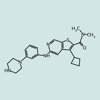 CN(C)C(=O)c1sc2cnc(Nc3cccc(N4CCNCC4)c3)cc2c1C1CCC1